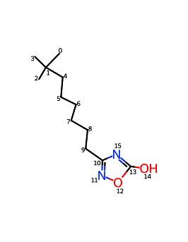 CC(C)(C)CCCCCCc1noc(O)n1